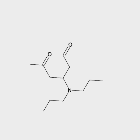 CCCN(CCC)C(CC=O)CC(C)=O